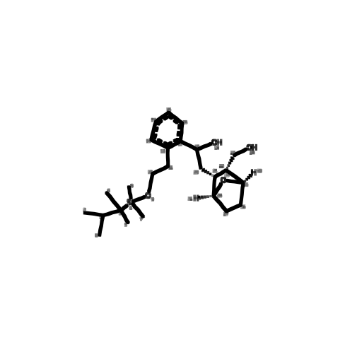 CC(C)C(C)(C)[Si](C)(C)OCCc1ccccc1C(O)C[C@@H]1[C@H](CO)[C@H]2CC[C@@H]1O2